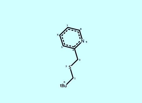 CC(C)(C)CSCc1ccccn1